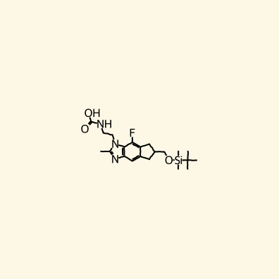 Cc1nc2cc3c(c(F)c2n1CCNC(=O)O)CC(CO[Si](C)(C)C(C)(C)C)C3